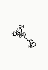 O=C(O)CC(c1nc2cnccc2[nH]1)N1CCC(CCCc2ccc3c(n2)NCCC3)C1=O